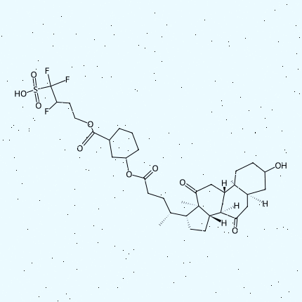 C[C@H](CCC(=O)OC1CCCC(C(=O)OCCC(F)C(F)(F)S(=O)(=O)O)C1)[C@H]1CC[C@H]2[C@@H]3C(=O)C[C@@H]4CC(O)CC[C@]4(C)[C@H]3CC(=O)[C@]12C